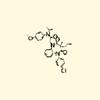 C=CCC1(C)C(=O)N(CC(=O)N(c2ccc(OC)cc2)C(C)C)c2ccccc2N(c2ccc(Cl)cc2)C1=O